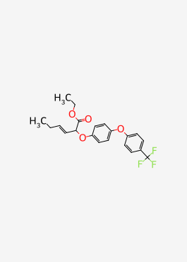 CCC=CC(Oc1ccc(Oc2ccc(C(F)(F)F)cc2)cc1)C(=O)OCC